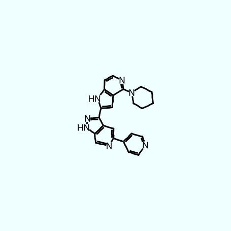 c1cc(-c2cc3c(-c4cc5c(N6CCCCC6)nccc5[nH]4)n[nH]c3cn2)ccn1